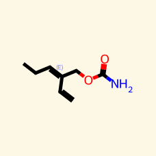 C=C/C(=C\CC)COC(N)=O